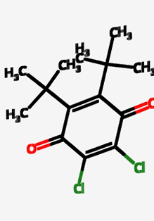 CC(C)(C)C1=C(C(C)(C)C)C(=O)C(Cl)=C(Cl)C1=O